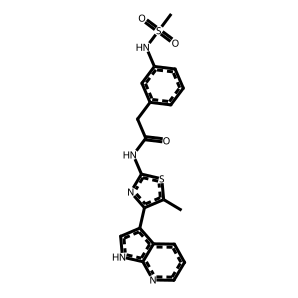 Cc1sc(NC(=O)Cc2cccc(NS(C)(=O)=O)c2)nc1-c1c[nH]c2ncccc12